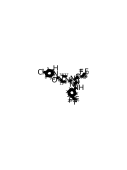 O=C(Nc1ccc(Cl)cc1)N1CCN(c2nc(Nc3cccc(C(F)(F)F)c3)nc(OCC(F)(F)F)n2)CC1